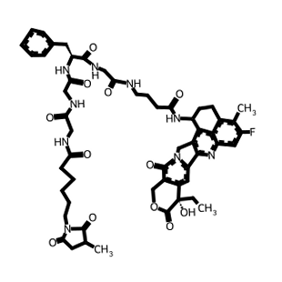 CC[C@@]1(O)C(=O)OCc2c1cc1n(c2=O)Cc2c-1nc1cc(F)c(C)c3c1c2C(NC(=O)CCCNC(=O)CNC(=O)[C@H](Cc1ccccc1)NC(=O)CNC(=O)CNC(=O)CCCCCN1C(=O)CC(C)C1=O)CC3